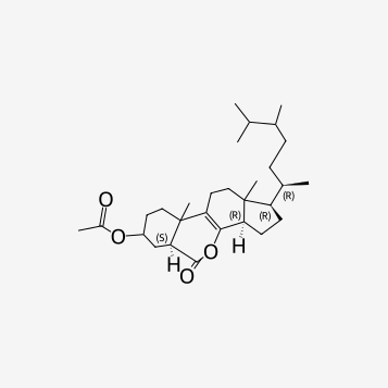 CC(=O)OC1CCC2(C)C3=C(OC(=O)[C@H]2C1)[C@@H]1CC[C@H]([C@H](C)CCC(C)C(C)C)C1(C)CC3